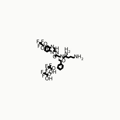 NCCC[C@H](N)C(=O)N[C@H](CCc1ccccc1)C(=O)Nc1cnc2ccccc2n1.O=C(O)C(F)(F)F.O=C(O)C(F)(F)F.O=C(O)C(F)(F)F